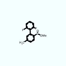 COS(=O)c1ccc(C)cc1-c1c(F)cccc1F